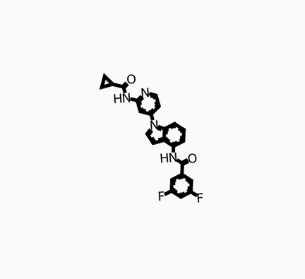 O=C(Nc1cccc2c1ccn2-c1ccnc(NC(=O)C2CC2)c1)c1cc(F)cc(F)c1